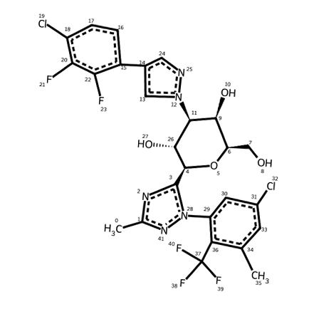 Cc1nc([C@@H]2O[C@H](CO)[C@H](O)[C@H](n3cc(-c4ccc(Cl)c(F)c4F)cn3)[C@H]2O)n(-c2cc(Cl)cc(C)c2C(F)(F)F)n1